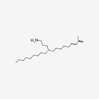 C=C(C)CCCCCCCC(CCCN)CCCCCCCCC